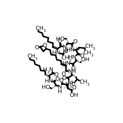 CCCCCCC/C=C(/NC(C)=O)C(=O)N[C@H](CO)C(=O)N/C(=C/C(C)C)C(=O)N[C@H](CO)C(=O)N/C(=C\CCCCCC1CC(=O)O1)C(=O)N[C@H](CC(C)C)C(=O)N/C(=C\C(=O)O)C(=O)N[C@H](CO)C(=O)N[C@@H](CCCCCCCC)C(N)=O